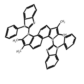 Cc1c(C)n(-c2nc3ccccc3n2-c2ccccc2)c2c1ccc1c2ccc2c(C)c(C)n(-c3nc4ccccc4n3-c3ccccc3)c21